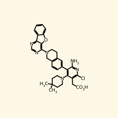 CC1(C)CCN(c2c(CC(=O)O)c(Cl)nc(N)c2-c2ccc3c(c2)CCN(c2ncnc4c2oc2ccccc24)C3)CC1